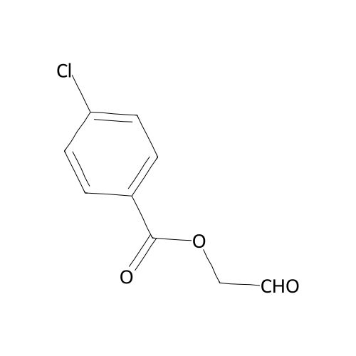 O=CCOC(=O)c1ccc(Cl)cc1